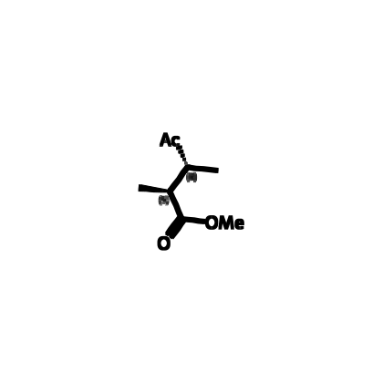 COC(=O)[C@@H](C)[C@@H](C)C(C)=O